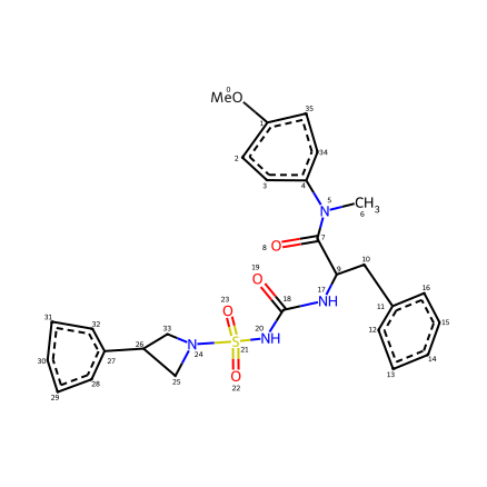 COc1ccc(N(C)C(=O)C(Cc2ccccc2)NC(=O)NS(=O)(=O)N2CC(c3ccccc3)C2)cc1